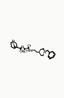 O=C(NCCC1CCN(Cc2ccccc2)CC1)c1noc(C2CN3CCC2CC3)n1